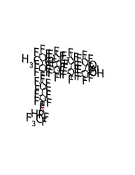 Cc1c(F)c(F)c(F)c(C(F)(F)F)c1-c1c(F)c(F)c(F)c(F)c1F.FCPC(F)(F)C(F)(F)F.Fc1c(F)c(F)c(-c2c(F)c(F)c(F)c(F)c2F)c(F)c1F.Fc1c(F)c(F)c(-c2c(F)c(F)c(F)c(F)c2F)c(F)c1F.Fc1c(F)c(F)c(-c2c(F)c(F)c(F)c(F)c2F)c(F)c1F.Fc1c(F)c(F)c(-c2c(F)c(F)c(F)c(F)c2F)c(F)c1F.[O]=[Al][OH]